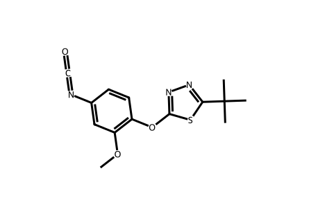 COc1cc(N=C=O)ccc1Oc1nnc(C(C)(C)C)s1